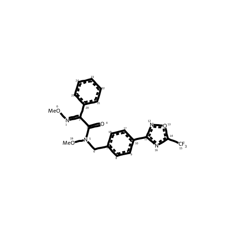 CON=C(C(=O)N(Cc1ccc(-c2noc(C(F)(F)F)n2)cc1)OC)c1ccccc1